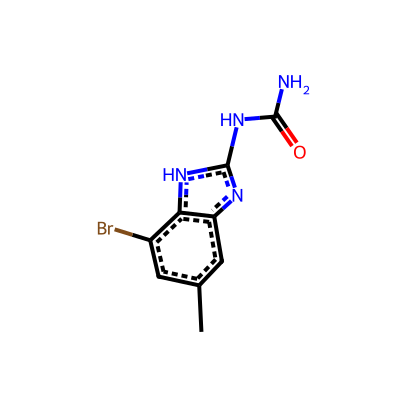 Cc1cc(Br)c2[nH]c(NC(N)=O)nc2c1